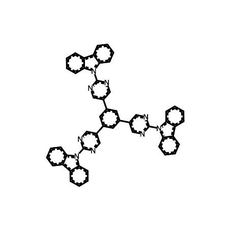 c1ccc2c(c1)c1ccccc1n2-c1ncc(-c2cc(-c3cnc(-n4c5ccccc5c5ccccc54)nc3)cc(-c3cnc(-n4c5ccccc5c5ccccc54)nc3)c2)cn1